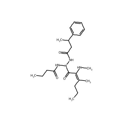 CCCC(=O)NN(NC(=O)CC(C)c1ccccc1)C(=O)C(NC)=C(C)CCC